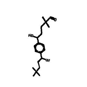 CC(C)(C)CCC(O)c1ccc(C(O)CCC(C)(C)C=O)cc1